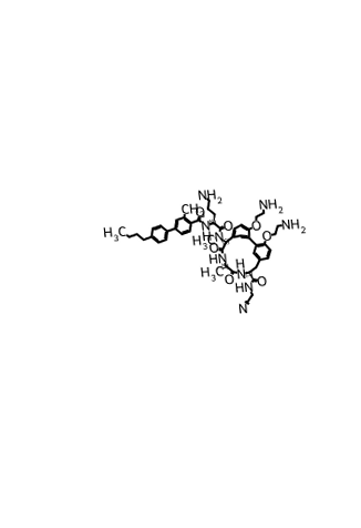 CCCCc1ccc(-c2ccc(C(=O)N[C@@H](CCCN)C(=O)N(C)[C@@H]3C(=O)N[C@@H](C)C(=O)N[C@H](C(=O)NCC#N)Cc4ccc(OCCN)c(c4)-c4cc3ccc4OCCN)c(C)c2)cc1